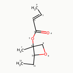 CC=CC(=O)OC1(C)COC1CC